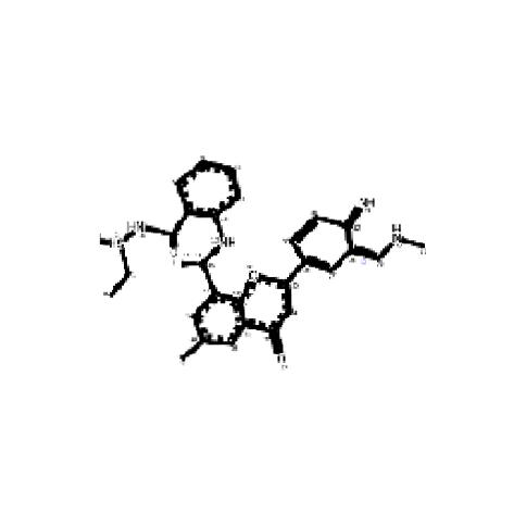 CC[SH](C)NC(=O)c1ccccc1N[C@H](C)c1cc(C)cc2c(=O)cc(C3=C/C(=C/NC)C(=N)C=C3)oc12